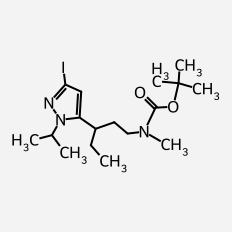 CCC(CCN(C)C(=O)OC(C)(C)C)c1cc(I)nn1C(C)C